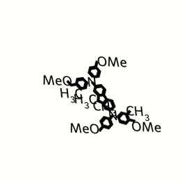 COCc1ccc(N(c2ccc(COC)c(C)c2)c2ccc3c(c2)C(C)(C)c2cc(N(c4ccc(COC)cc4)c4ccc(COC)c(C)c4)ccc2-3)cc1